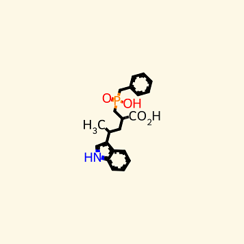 CC(CC(CP(=O)(O)Cc1ccccc1)C(=O)O)c1c[nH]c2ccccc12